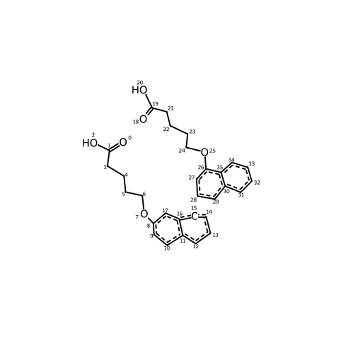 O=C(O)CCCCOc1ccc2ccccc2c1.O=C(O)CCCCOc1cccc2ccccc12